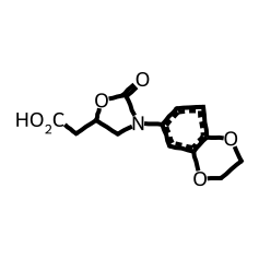 O=C(O)CC1CN(c2ccc3c(c2)OCCO3)C(=O)O1